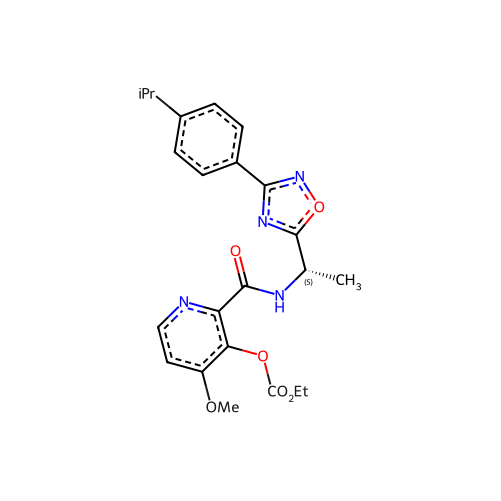 CCOC(=O)Oc1c(OC)ccnc1C(=O)N[C@@H](C)c1nc(-c2ccc(C(C)C)cc2)no1